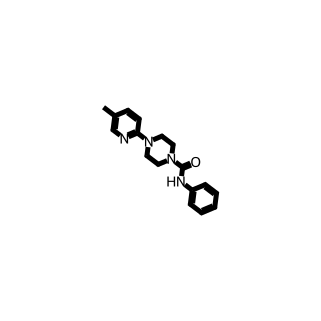 Cc1ccc(N2CCN(C(=O)Nc3ccccc3)CC2)nc1